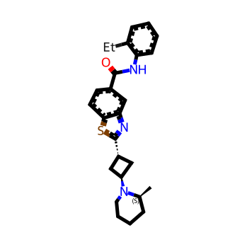 CCc1ccccc1NC(=O)c1ccc2sc([C@H]3C[C@H](N4CCCC[C@@H]4C)C3)nc2c1